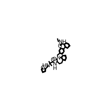 CCNC(=O)c1ccccc1-c1ccc(CN2C(=O)C(NC(=O)C(C)(C)NCc3ccco3)CCc3ccccc32)cc1